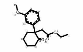 CCOC(=O)CC1(c2cccc(OC)c2)CCCCC1=O